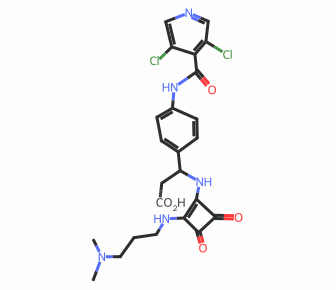 CN(C)CCCNc1c(NC(CC(=O)O)c2ccc(NC(=O)c3c(Cl)cncc3Cl)cc2)c(=O)c1=O